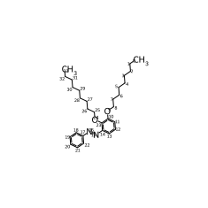 CCCCCCCCCOc1cccc(N=Nc2ccccc2)c1OCCCCCCCCC